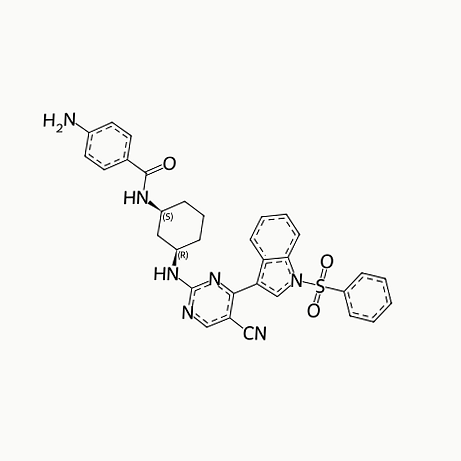 N#Cc1cnc(N[C@@H]2CCC[C@H](NC(=O)c3ccc(N)cc3)C2)nc1-c1cn(S(=O)(=O)c2ccccc2)c2ccccc12